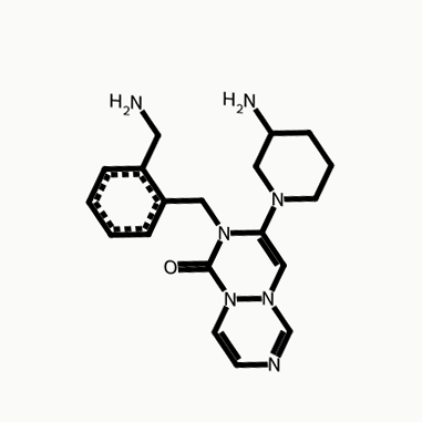 NCc1ccccc1CN1C(=O)N2C=CN=CN2C=C1N1CCCC(N)C1